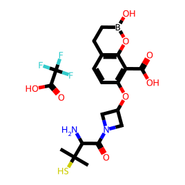 CC(C)(S)C(N)C(=O)N1CC(Oc2ccc3c(c2C(=O)O)OB(O)CC3)C1.O=C(O)C(F)(F)F